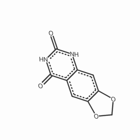 O=c1[nH]c(=O)c2cc3c(cc2[nH]1)OCO3